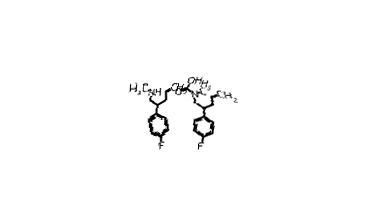 C=CCC(CN(C)C(=O)O)c1ccc(F)cc1.C=CCC(CNC)c1ccc(F)cc1